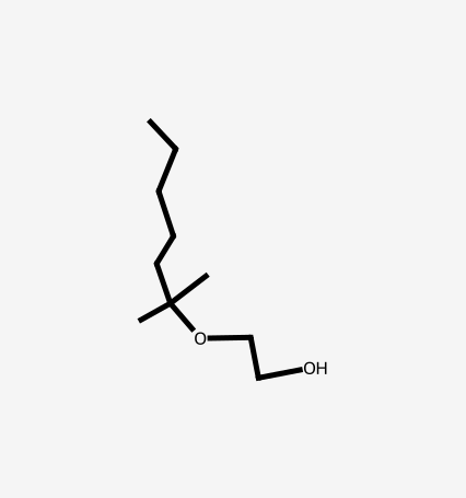 CCCCCC(C)(C)OCCO